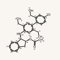 CCc1nc(-c2ccc(Cl)cc2CO)c(CC)nc1N[C@@H]1c2ccccc2C[C@@H]1OC(C)=O